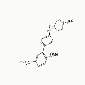 COc1ccc(C(=O)O)cc1-c1ccc([C@H]2CC23CCN(C(C)=O)CC3)cc1